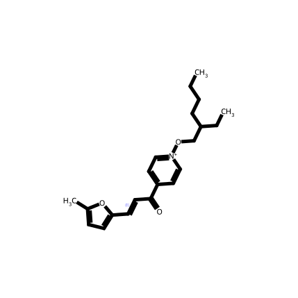 CCCCC(CC)CO[n+]1ccc(C(=O)/C=C/c2ccc(C)o2)cc1